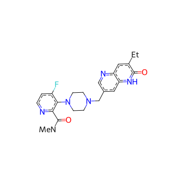 CCc1cc2ncc(CN3CCN(c4c(F)ccnc4C(=O)NC)CC3)cc2[nH]c1=O